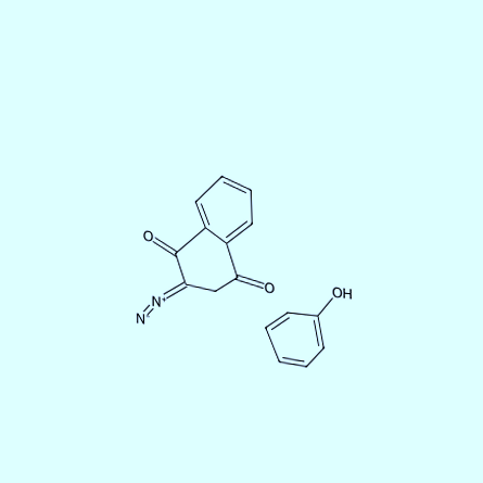 Oc1ccccc1.[N-]=[N+]=C1CC(=O)c2ccccc2C1=O